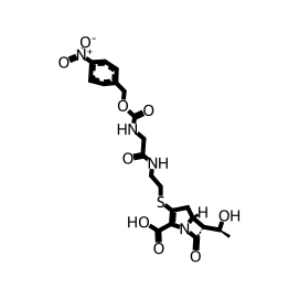 C[C@H](O)[C@@H]1C(=O)N2C(C(=O)O)=C(SCCNC(=O)CNC(=O)OCc3ccc([N+](=O)[O-])cc3)C[C@H]12